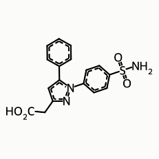 NS(=O)(=O)c1ccc(-n2nc(CC(=O)O)cc2-c2ccccc2)cc1